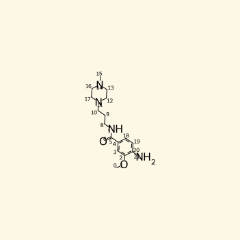 COc1cc(C(=O)NCCCN2CCN(C)CC2)ccc1N